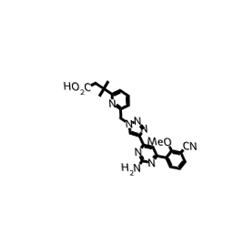 COc1c(C#N)cccc1-c1cc(-c2cn(Cc3cccc(C(C)(C)CC(=O)O)n3)nn2)nc(N)n1